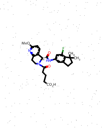 COc1ccc2c(n1)CCN(C(=O)CCCC(=O)O)[C@H]2C(=O)Nc1cc(F)c2c(c1)CCC2(C)C